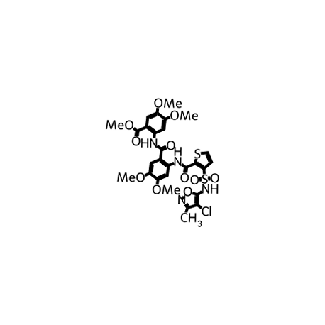 COC(=O)c1cc(OC)c(OC)cc1NC(=O)c1cc(OC)c(OC)cc1NC(=O)c1sccc1S(=O)(=O)Nc1onc(C)c1Cl